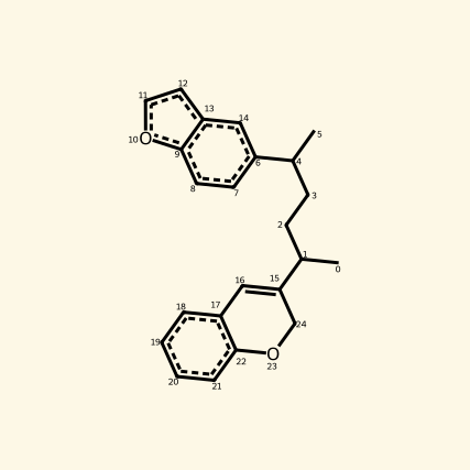 CC(CCC(C)c1ccc2occc2c1)C1=Cc2ccccc2OC1